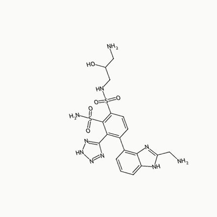 NCc1nc2c(-c3ccc(S(=O)(=O)NCC(O)CN)c(S(N)(=O)=O)c3-c3nn[nH]n3)cccc2[nH]1